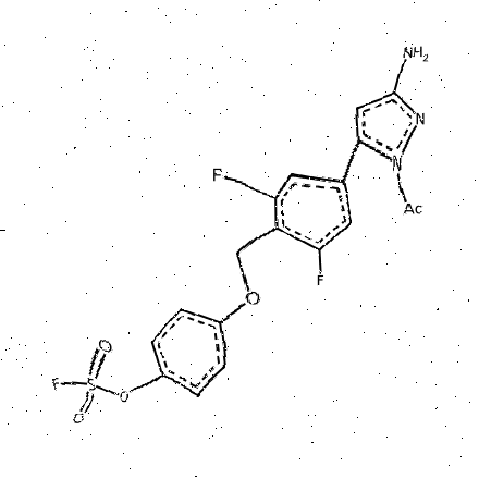 CC(=O)n1nc(N)cc1-c1cc(F)c(COc2ccc(OS(=O)(=O)F)cc2)c(F)c1